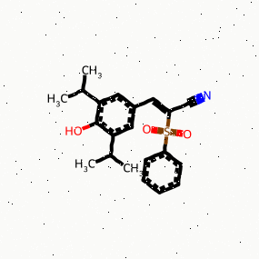 CC(C)c1cc(C=C(C#N)S(=O)(=O)c2ccccc2)cc(C(C)C)c1O